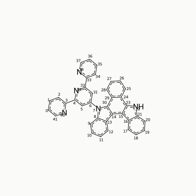 c1ccc(-c2cc(-n3c4ccccc4c4c5c6ccccc6[nH]c5c5ccccc5c43)cc(-c3ccccn3)n2)nc1